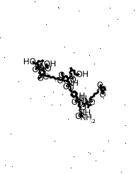 C=C1CC(CO)N(C(=O)c2cc(OC)c(OCCCCCOc3cc(NC(=O)OCc4ccc(NC(=O)C(CCCNC(N)=O)NC(=O)C(NC(=O)CCCCCN5C(=O)C=CC5=O)C(C)C)cc4)c(C(=O)N4CC(=C)CC4CO)cc3OC)cc2NC(=O)O)C1